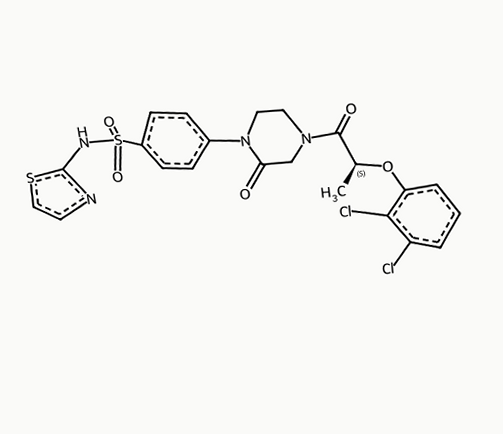 C[C@H](Oc1cccc(Cl)c1Cl)C(=O)N1CCN(c2ccc(S(=O)(=O)Nc3nccs3)cc2)C(=O)C1